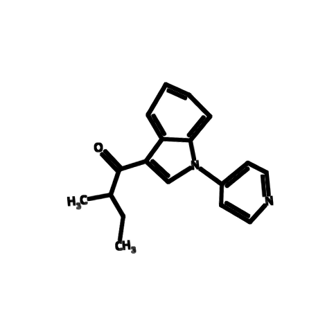 CCC(C)C(=O)c1cn(-c2ccncc2)c2ccccc12